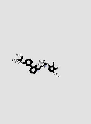 C=CC(=C)Nc1cccc(-c2ccc/c(=C/C/N=C(\C)Sc3ccc(C)c(F)c3F)c2=C)c1